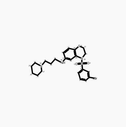 O=S(=O)(c1cccc(Br)c1)N1CCSc2ccc(NCCCN3CCCCC3)cc21